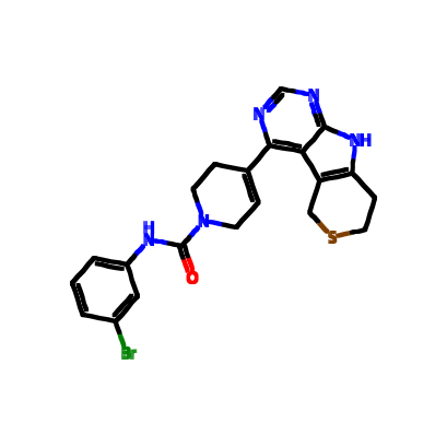 O=C(Nc1cccc(Br)c1)N1CC=C(c2ncnc3[nH]c4c(c23)CSCC4)CC1